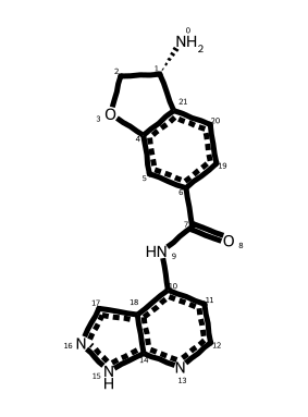 N[C@H]1COc2cc(C(=O)Nc3ccnc4[nH]ncc34)ccc21